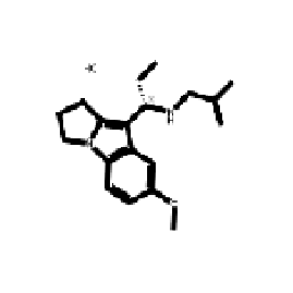 C[CH][C@H](NCC(C)C)c1c2n(c3ccc(OC)cc13)CCC2.Cl